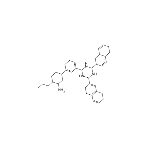 CCCC1CCC(C2=CC(C3NC(C4=CC5=C(C=CCC5)CC4)NC(C4C=CC5CCC=CC5C4)N3)=CCC2)CC1N